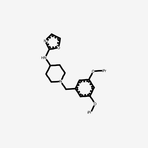 CC(C)Oc1cc(CN2CCC(Nc3ncco3)CC2)cc(OC(C)C)c1